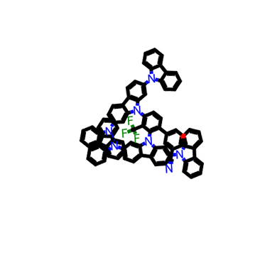 N#Cc1cccc(-c2ccc(-n3c4cc(-n5c6ccccc6c6ccccc65)ccc4c4ccc(-n5c6ccccc6c6ccccc65)cc43)c(C(F)(F)F)c2-n2c3cc(-n4c5ccccc5c5ccccc54)ccc3c3ccc(-n4c5ccccc5c5ccccc54)cc32)c1